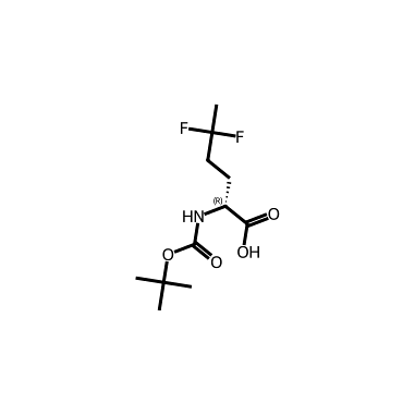 CC(F)(F)CC[C@@H](NC(=O)OC(C)(C)C)C(=O)O